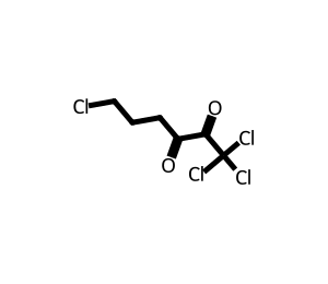 O=C(CCCCl)C(=O)C(Cl)(Cl)Cl